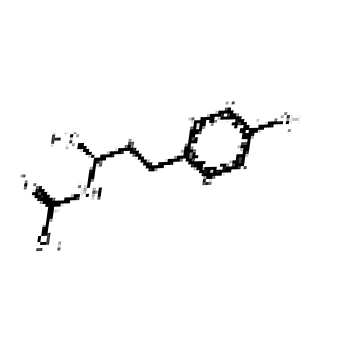 CC(=O)N[C@@H](C)CCc1ccc(O)cc1